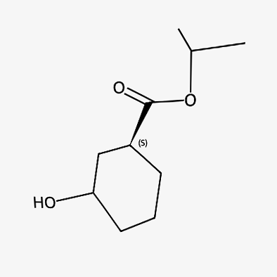 CC(C)OC(=O)[C@H]1CCCC(O)C1